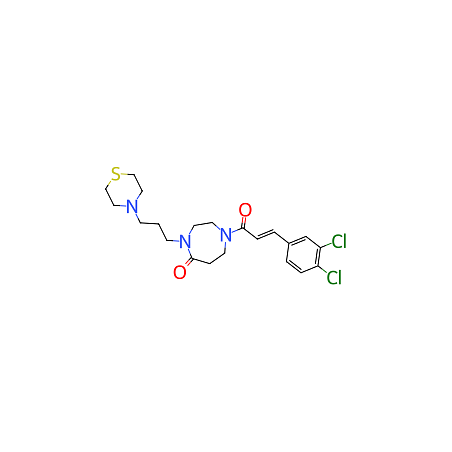 O=C(/C=C/c1ccc(Cl)c(Cl)c1)N1CCC(=O)N(CCCN2CCSCC2)CC1